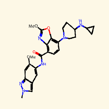 COc1nc2c(C(=O)Nc3cc4cn(C)nc4cc3OC)ccc(N3CCC(NC4CC4)CC3)c2o1